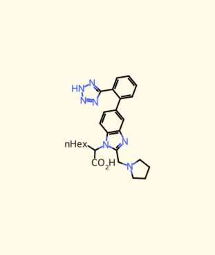 CCCCCCC(C(=O)O)n1c(CN2CCCC2)nc2cc(-c3ccccc3-c3nn[nH]n3)ccc21